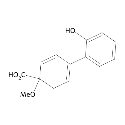 COC1(C(=O)O)C=CC(c2ccccc2O)=CC1